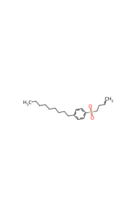 C=CCCS(=O)(=O)c1ccc(CCCCCCCCC)cc1